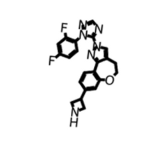 Fc1ccc(-n2ncnc2-n2cc3c(n2)-c2ccc(C4CNC4)cc2OCC3)c(F)c1